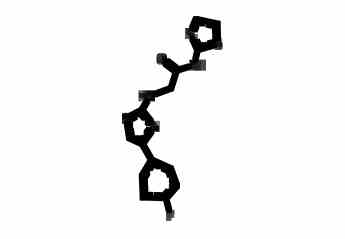 O=C(CNc1nc(-c2ccc(F)cc2)cs1)Nc1nccs1